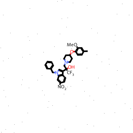 COc1cc(C)ccc1OC1CCN(CC(O)(c2cn(Cc3ccccc3)c3cc([N+](=O)[O-])ccc23)C(F)(F)F)CC1